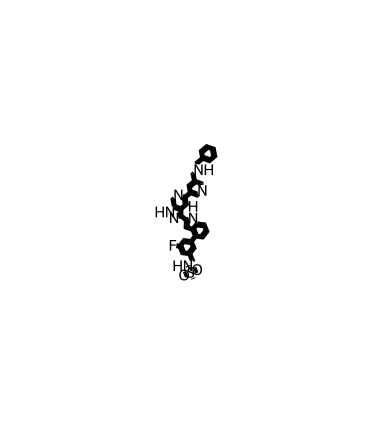 CS(=O)(=O)NCc1cc(F)cc(-c2cccc3[nH]c(-c4n[nH]c5cnc(-c6cncc(CNCc7ccccc7)c6)cc45)cc23)c1